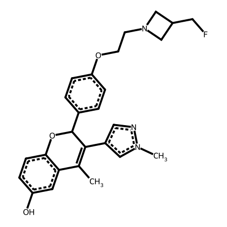 CC1=C(c2cnn(C)c2)C(c2ccc(OCCN3CC(CF)C3)cc2)Oc2ccc(O)cc21